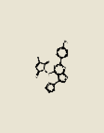 CC1=CC(=O)N(Nc2nc(-c3ccc(N)cc3)nc3scc(-c4cccs4)c23)C1=O